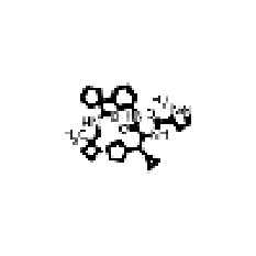 Cn1nccc1C(=O)N[C@H](C(=O)Nc1cccc(C2(C(=O)NCC3(C)CCC3)CCCC2)c1)C(C1CCCC1)C1CC1